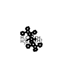 CC(C)c1c2c3cc4c(c5c6ccccc6n(c2c(C(C)C)c2c6cc7c(c8c9ccccc9n(c12)c68)-c1ccccc1C7c1ccccc1)c35)-c1ccccc1C4c1ccccc1